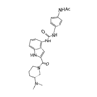 CC(=O)Nc1ccc(NC(=O)Nc2cccc3[nH]c(C(=O)N4CCCC(N(C)C)C4)cc23)cc1